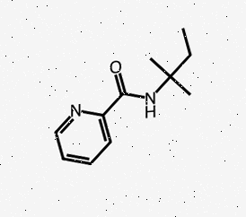 CCC(C)(C)NC(=O)c1ccccn1